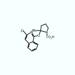 CC(C)(C)C1(Oc2nc(Cl)cc3ccccc23)CCCN1C(=O)O